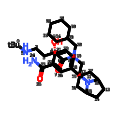 CC(C)(C)NCC[C@H](O)C(=O)N(CCN1C2CCC1CC(c1cccc(C(N)=O)c1)C2)CC1CCCCC1